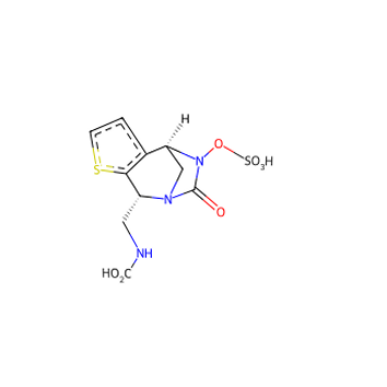 O=C(O)NC[C@@H]1c2sccc2[C@@H]2CN1C(=O)N2OS(=O)(=O)O